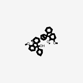 COc1cccc(C(O)(c2ccccc2)c2ccccc2)c1OC.COc1cccc(C2(c3ccccc3)C3=CC=CC2=C3)c1OC